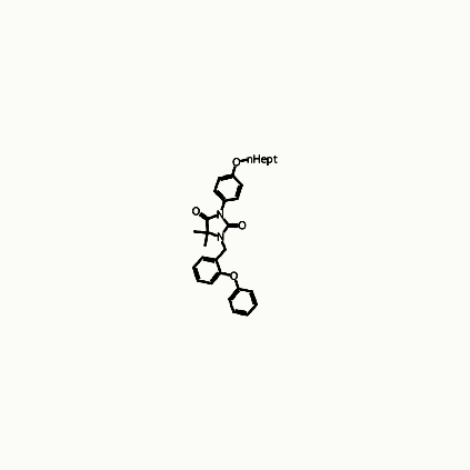 CCCCCCCOc1ccc(N2C(=O)N(Cc3ccccc3Oc3ccccc3)C(C)(C)C2=O)cc1